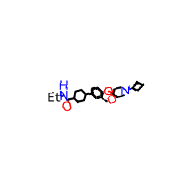 CCNC(=O)C1CCC(c2ccc3c(c2)COC2(CCN(C4CCC4)CC2)O3)CC1